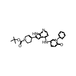 CC(C)(C)OC(=O)N1CC=C(c2cc3c(Nc4ccc(=O)n(-c5ccccc5)c4)ccnc3[nH]2)CC1